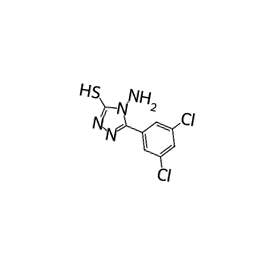 Nn1c(S)nnc1-c1cc(Cl)cc(Cl)c1